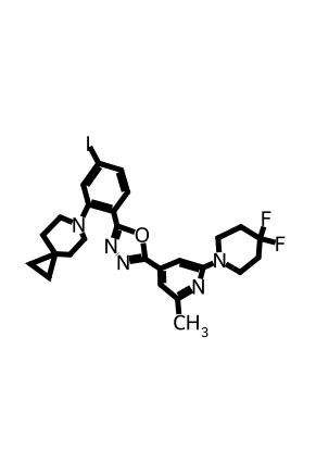 Cc1cc(-c2nnc(-c3ccc(I)cc3N3CCC4(CC3)CC4)o2)cc(N2CCC(F)(F)CC2)n1